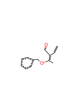 C=CC(C=O)=C(C)OCc1ccccc1